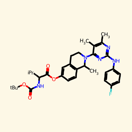 Cc1nc(Nc2ccc(F)cc2)nc(N2CCc3cc(OC(=O)C(NC(=O)OC(C)(C)C)C(C)C)ccc3C2C)c1C